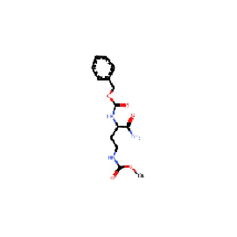 CC(C)(C)OC(=O)NCCC(NC(=O)OCc1ccccc1)C(N)=O